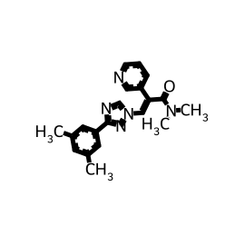 Cc1cc(C)cc(-c2ncn(/C=C(/C(=O)N(C)C)c3cccnc3)n2)c1